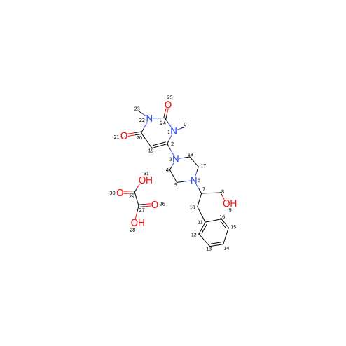 Cn1c(N2CCN(C(CO)Cc3ccccc3)CC2)cc(=O)n(C)c1=O.O=C(O)C(=O)O